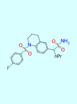 CCCC(c1ccc2c(c1)CCCN2S(=O)(=O)c1ccc(F)cc1)S(N)(=O)=O